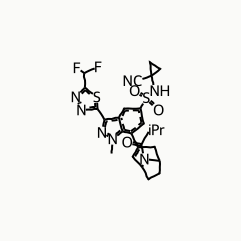 CC(C)C(=O)N1C2C=C(c3cc(S(=O)(=O)NC4(C#N)CC4)cc4c(-c5nnc(C(F)F)s5)nn(C)c34)CC1CC2